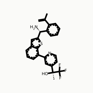 C=C(C)c1ccccc1[C@@H](N)c1cc2cccc(-c3cc([C@](C)(O)C(F)(F)F)ccn3)c2s1